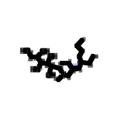 CCCCC(/C=C(\CC)CN(C)CC(O)C(O)C(O)C(O)CO)CC